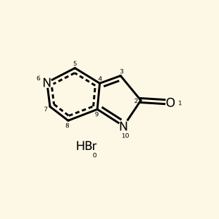 Br.O=C1C=c2cnccc2=N1